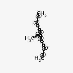 C=CC(=O)OCCCCOC(=O)C1CCC(C2CCC(C(=O)Oc3ccc(OC(=O)C4CCC(C5CCC(C(=O)OCCCCOC(=O)C=C)CC5)CC4)c(C(=O)OCCCC)c3)CC2)CC1